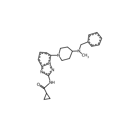 CN(Cc1ccccc1)C1CCN(c2cccc3nc(NC(=O)C4CC4)nn23)CC1